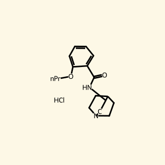 CCCOc1ccccc1C(=O)NC1CN2CCC1CC2.Cl